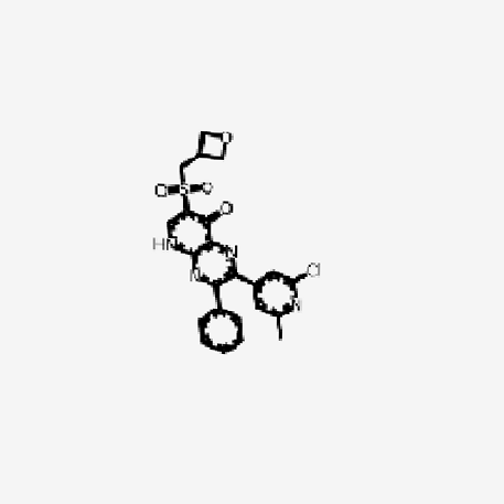 Cc1cc(-c2nc3c(=O)c(S(=O)(=O)CC4COC4)c[nH]c3nc2-c2ccccc2)cc(Cl)n1